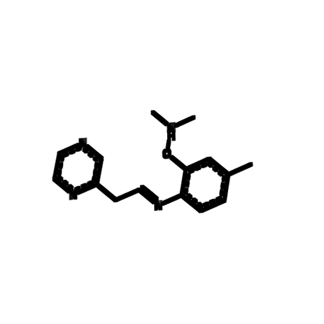 Cc1ccc(N=CCc2cnccn2)c(O[SiH](C)C)c1